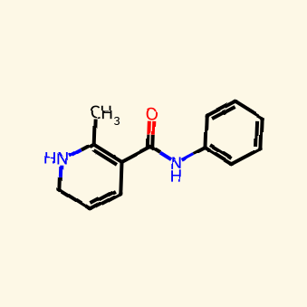 CC1=C(C(=O)Nc2ccccc2)C=CCN1